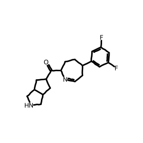 O=C(C1CC2CNCC2C1)C1CCC(c2cc(F)cc(F)c2)CC=N1